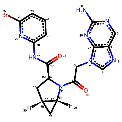 Nc1ncc2ncn(CC(=O)N3[C@@H]4C[C@@H]4C[C@H]3C(=O)Nc3cccc(Br)n3)c2n1